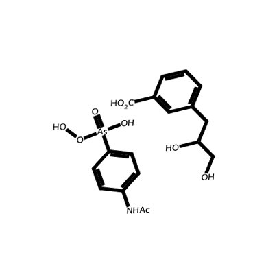 CC(=O)Nc1ccc([As](=O)(O)OO)cc1.O=C(O)c1cccc(CC(O)CO)c1